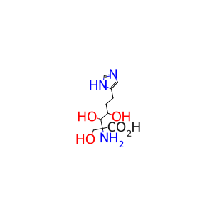 NC(CO)(C(=O)O)C(O)C(O)CCc1cnc[nH]1